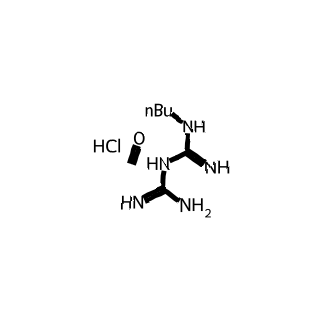 C=O.CCCCNC(=N)NC(=N)N.Cl